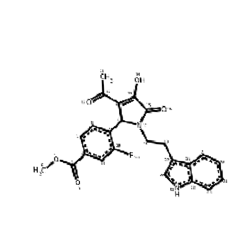 COC(=O)c1ccc(C2C(C(C)=O)=C(O)C(=O)N2CCc2c[nH]c3ccccc23)c(F)c1